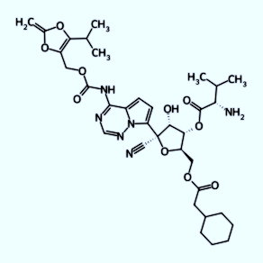 C=C1OC(COC(=O)Nc2ncnn3c([C@]4(C#N)O[C@H](COC(=O)CC5CCCCC5)[C@@H](OC(=O)[C@@H](N)C(C)C)[C@H]4O)ccc23)=C(C(C)C)O1